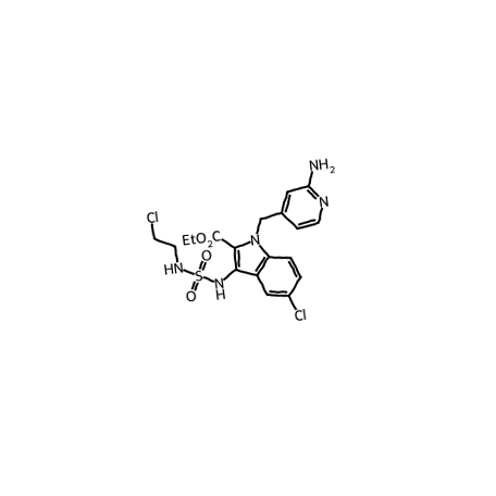 CCOC(=O)c1c(NS(=O)(=O)NCCCl)c2cc(Cl)ccc2n1Cc1ccnc(N)c1